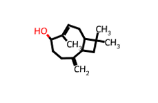 C=C1CCC(O)/C(C)=C/CC2C1CC2(C)C